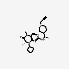 C#CCN1CCC([C@@H](C)Nc2ncc3c(n2)N(C2CCCC2)[C@H](CC)C(=O)N3C)CC1